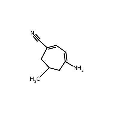 CC1CC(N)=CC=C(C#N)C1